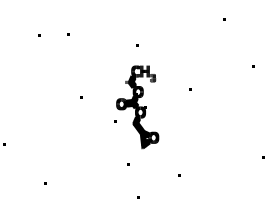 C[CH]OC(=O)OCC1CO1